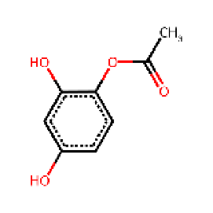 CC(=O)Oc1ccc(O)cc1O